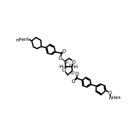 CCCCCCOc1ccc(-c2ccc(C(=O)O[C@@H]3CO[C@@H]4[C@H]3OC[C@@H]4OC(=O)c3ccc(C4CCC(CCCCC)CC4)cc3)cc2)cc1